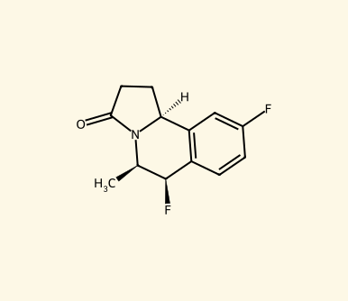 C[C@@H]1[C@H](F)c2ccc(F)cc2[C@@H]2CCC(=O)N12